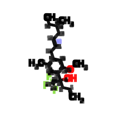 C=CCC(O)(c1cc(C)c(C/C=C/CC(C)CC)cc1OC)C(F)(F)F